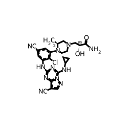 C[C@H]1CN(C[C@@H](O)C(N)=O)CCN1c1cc(C#N)cc(Nc2nc(NC3CC3)n3ncc(C#N)c3n2)c1Cl